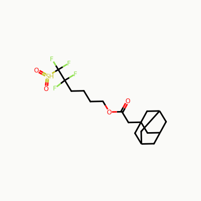 O=C(CC12CC3CC(CC(C3)C1)C2)OCCCCC(F)(F)C(F)(F)[SH](=O)=O